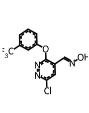 ON=Cc1cc(Cl)nnc1Oc1cccc(C(F)(F)F)c1